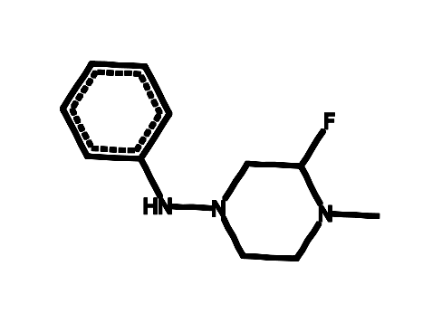 CN1CCN(Nc2ccccc2)CC1F